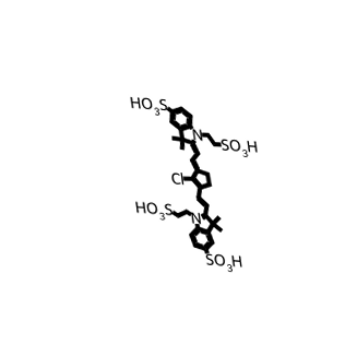 CC1(C)C(/C=C/C2=C(Cl)C(=C/C=C3/N(CCS(=O)(=O)O)c4ccc(S(=O)(=O)O)cc4C3(C)C)/CC2)=[N+](CCS(=O)(=O)O)c2ccc(S(=O)(=O)O)cc21